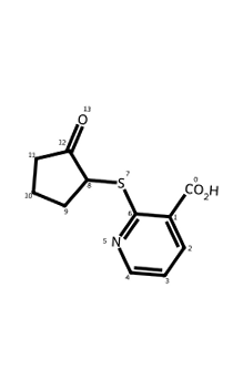 O=C(O)c1cccnc1SC1CCCC1=O